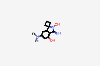 CCN(CC)c1cc(O)c2c(c1)C1(CCC1)N(O)C2=N